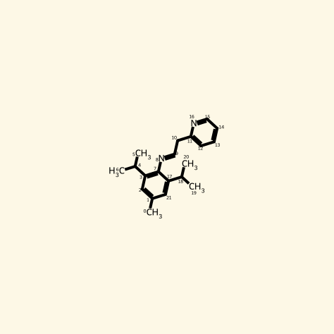 Cc1cc(C(C)C)c(N=CCc2ccccn2)c(C(C)C)c1